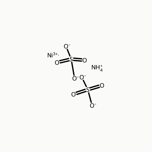 O=S(=O)([O-])[O-].O=S(=O)([O-])[O-].[NH4+].[Ni+3]